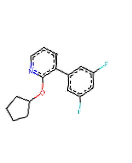 Fc1[c]c(-c2cccnc2OC2CCCC2)cc(F)c1